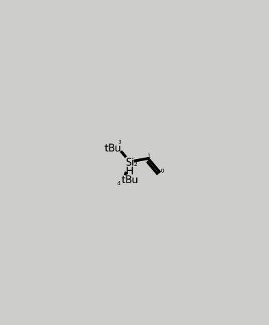 C=C[SiH](C(C)(C)C)C(C)(C)C